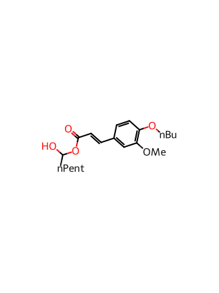 CCCCCC(O)OC(=O)C=Cc1ccc(OCCCC)c(OC)c1